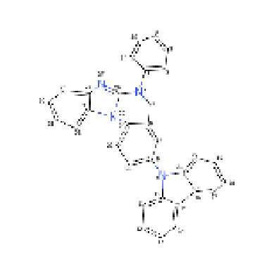 c1ccc(N2Cc3cc(-n4c5ccccc5c5ccccc54)ccc3-n3c2nc2ccccc23)cc1